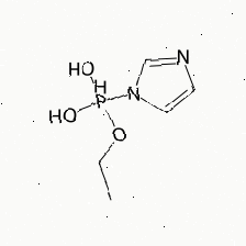 CCO[PH](O)(O)n1ccnc1